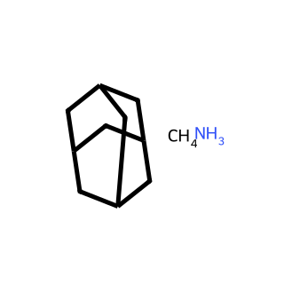 C.C1C2CC3CC1CC(C2)C3.N